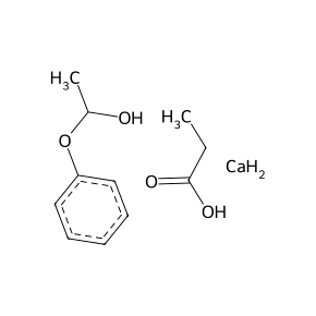 CC(O)Oc1ccccc1.CCC(=O)O.[CaH2]